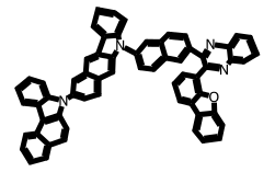 c1ccc2c(c1)ccc1c2c2ccccc2n1-c1ccc2cc3c(cc2c1)c1ccccc1n3-c1ccc2cc(-c3nc4ccccc4nc3-c3cccc4c3oc3ccccc34)ccc2c1